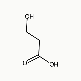 O=C(O)C[CH]O